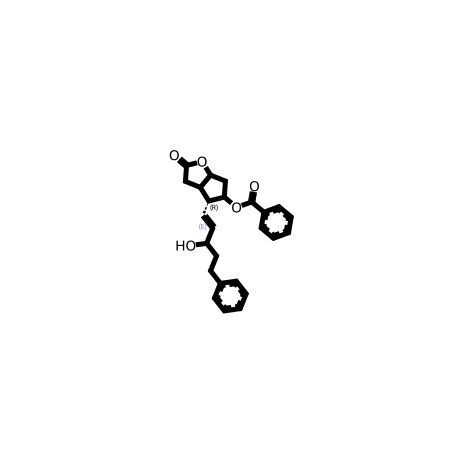 O=C1CC2C(CC(OC(=O)c3ccccc3)[C@@H]2/C=C/C(O)CCc2ccccc2)O1